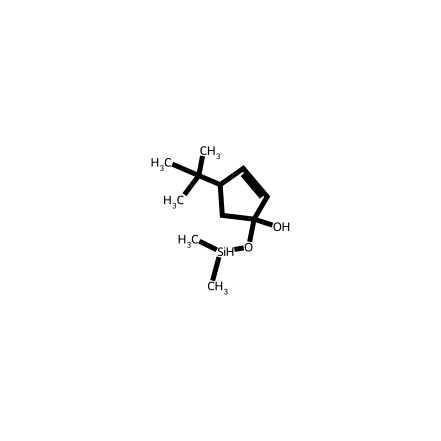 C[SiH](C)OC1(O)C=CC(C(C)(C)C)C1